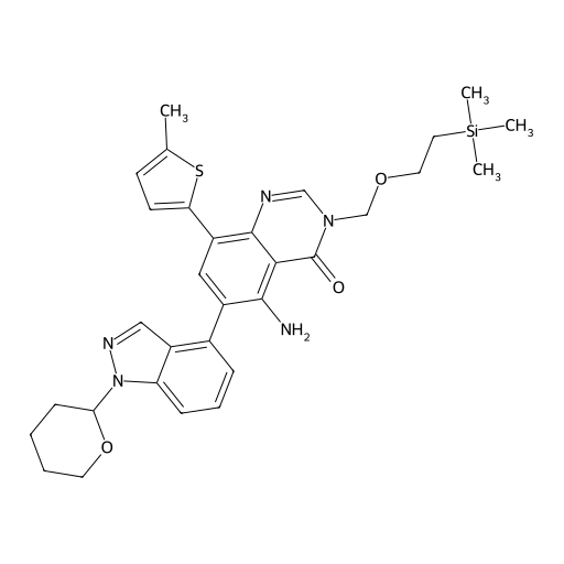 Cc1ccc(-c2cc(-c3cccc4c3cnn4C3CCCCO3)c(N)c3c(=O)n(COCC[Si](C)(C)C)cnc23)s1